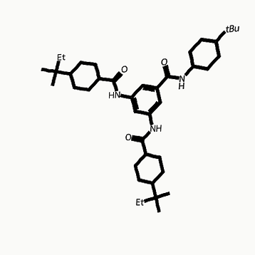 CCC(C)(C)C1CCC(C(=O)Nc2cc(NC(=O)C3CCC(C(C)(C)CC)CC3)cc(C(=O)NC3CCC(C(C)(C)C)CC3)c2)CC1